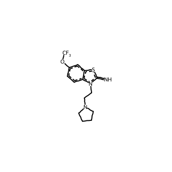 N=c1sc2cc(OC(F)(F)F)ccc2n1CCN1CCCC1